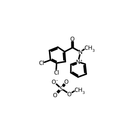 CN(C(=O)c1ccc(Cl)c(Cl)c1)[n+]1ccccc1.COS(=O)(=O)[O-]